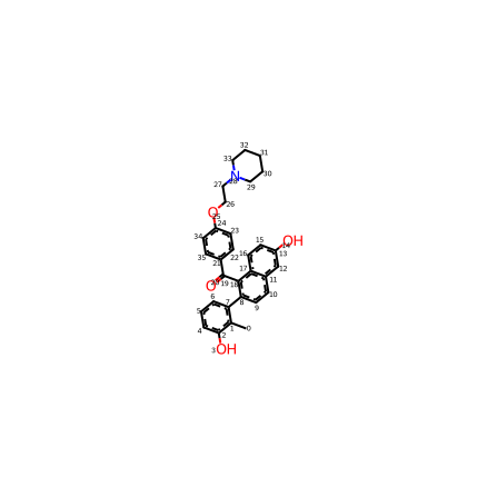 Cc1c(O)cccc1-c1ccc2cc(O)ccc2c1C(=O)c1ccc(OCCN2CCCCC2)cc1